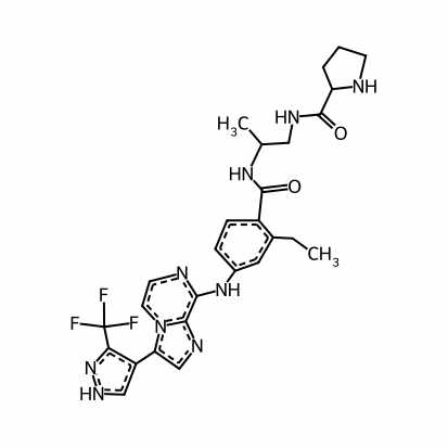 CCc1cc(Nc2nccn3c(-c4c[nH]nc4C(F)(F)F)cnc23)ccc1C(=O)NC(C)CNC(=O)C1CCCN1